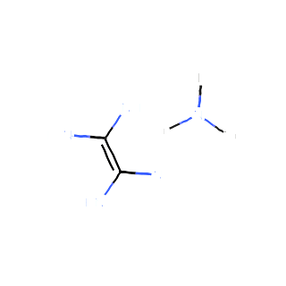 CCN(CC)CC.NC(N)=C(N)N